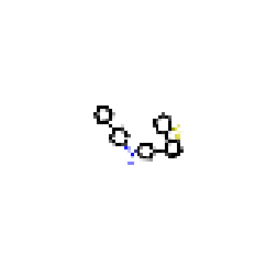 c1ccc(-c2ccc(Nc3ccc(-c4cccc5sc6ccccc6c45)cc3)cc2)cc1